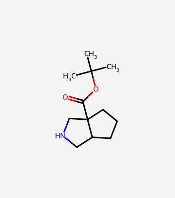 CC(C)(C)OC(=O)C12CCCC1CNC2